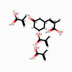 C=C(C)C(=O)O.C=C(C)C(=O)O.C=C(C)C(=O)O.CC(=CC1CCCC(=O)C1)C(=O)O